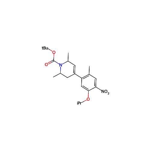 Cc1cc([N+](=O)[O-])c(OC(C)C)cc1C1=CC(C)N(C(=O)OC(C)(C)C)C(C)C1